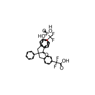 O=C(O)C(F)(F)c1ccc(CC(Cc2ccc(C(F)(F)P(=O)(O)O)cc2)(C(=O)c2ccccc2)c2ccccc2)cc1